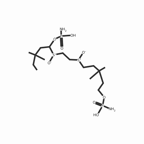 CCC(C)(C)CC(OP(N)(=O)O)[S+]([O-])CC[S+]([O-])CCC(C)(C)CCOP(N)(=O)O